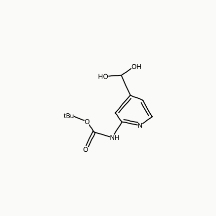 CC(C)(C)OC(=O)Nc1cc(C(O)O)ccn1